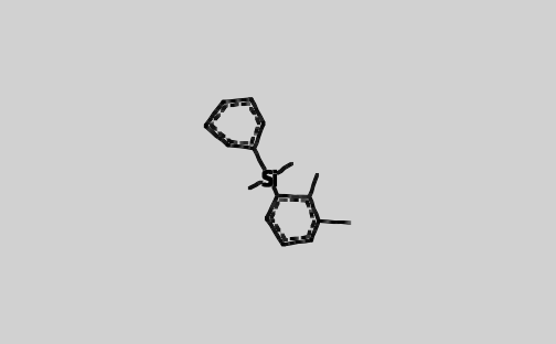 Cc1cccc([Si](C)(C)c2ccccc2)c1C